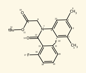 Cc1cc(C)cc(N(CC(=O)OC(C)(C)C)C(=O)c2c(F)cccc2F)c1